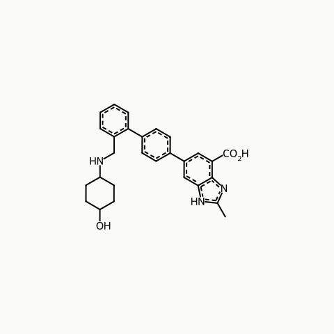 Cc1nc2c(C(=O)O)cc(-c3ccc(-c4ccccc4CNC4CCC(O)CC4)cc3)cc2[nH]1